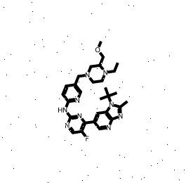 CCN1CCN(Cc2ccc(Nc3ncc(F)c(-c4cnc5nc(C)n(C(C)(C)C)c5c4)n3)nc2)CC1COC